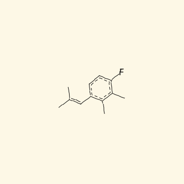 CC(C)=Cc1ccc(F)c(C)c1C